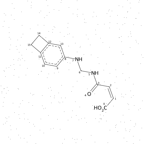 O=C(O)/C=C\C(=O)NCNc1ccc2c(c1)CC2